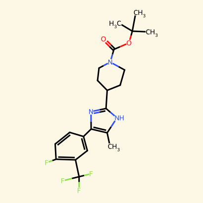 Cc1[nH]c(C2CCN(C(=O)OC(C)(C)C)CC2)nc1-c1ccc(F)c(C(F)(F)F)c1